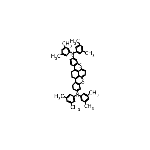 Cc1cc(C)cc(N(C2=CC3=C(CC2)C2=c4c(ccc5c4=C(CC2)c2ccc(N(c4cc(C)cc(C)c4)c4cc(C)cc(C)c4)cc2S5)S3)c2cc(C)cc(C)c2)c1